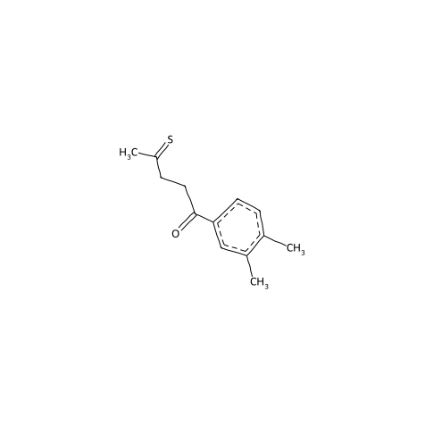 CC(=S)CCC(=O)c1ccc(C)c(C)c1